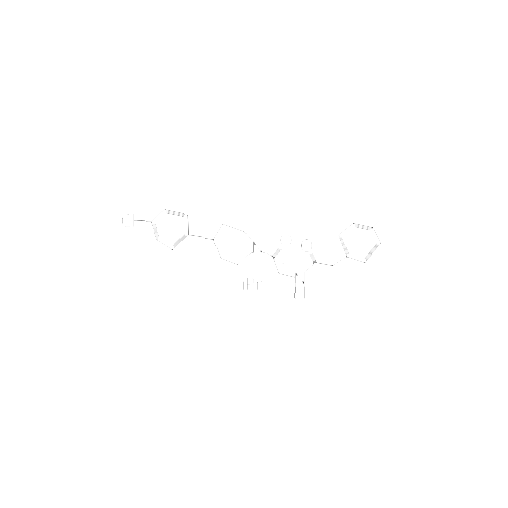 Cc1ccc(CC(=O)N[C@@H](C(=O)N2CCC(c3ccc(Cl)cc3)CC2)C(C)C)cc1